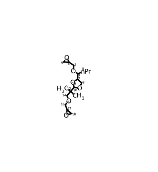 CCCC(OCC1CO1)C1COC(C(C)(C)COCC2CO2)O1